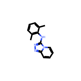 Cc1cccc(C)c1Nc1nnc2ccccn12